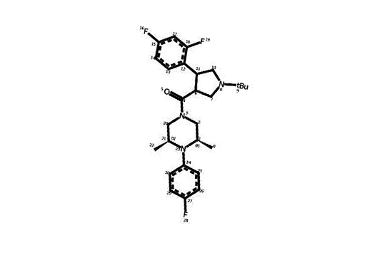 C[C@@H]1CN(C(=O)C2CN(C(C)(C)C)CC2c2ccc(F)cc2F)C[C@H](C)N1c1ccc(F)cc1